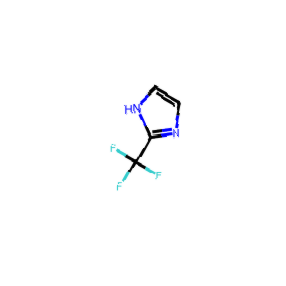 FC(F)(F)c1ncc[nH]1